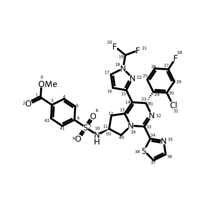 COC(=O)c1ccc(S(=O)(=O)N[C@H]2CC3=C(c4ccn(C(F)F)n4)[C@H](c4ccc(F)cc4Cl)N=C(c4nccs4)N3C2)cc1